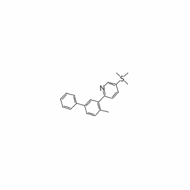 Cc1ccc(-c2ccccc2)cc1-c1ccc(S(C)(C)C)cn1